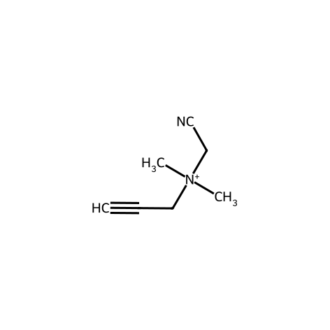 C#CC[N+](C)(C)CC#N